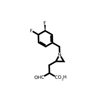 O=CC(CC1CN1CC1=C[C@H](F)C(F)C=C1)C(=O)O